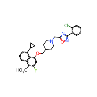 O=C(O)c1c(F)cc(OCC2CCN(Cc3nc(-c4ccccc4Cl)no3)CC2)c2c(C3CC3)cccc12